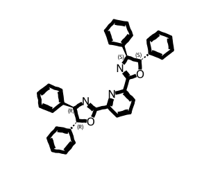 c1ccc([C@H]2N=C(c3cccc(C4=N[C@@H](c5ccccc5)[C@H](c5ccccc5)O4)n3)O[C@@H]2c2ccccc2)cc1